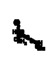 CC(C)(C)OC(=O)NCCOCCOCCNC(=O)C(CCC(N)=O)NCCCc1ccccc1